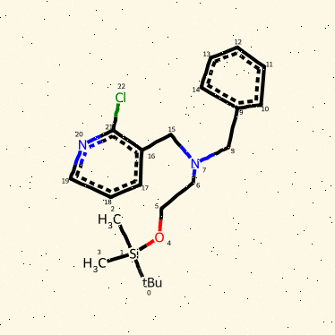 CC(C)(C)[Si](C)(C)OCCN(Cc1ccccc1)Cc1cccnc1Cl